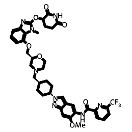 COc1cc2nn([C@H]3CC[C@H](CN4CCO[C@H](COc5cccc6nc(OC7CCC(=O)NC7=O)n(C)c56)C4)CC3)cc2cc1NC(=O)c1cccc(C(F)(F)F)n1